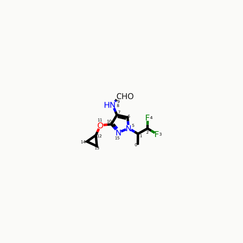 CC(C(F)F)n1cc(NC=O)c(OC2CC2)n1